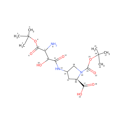 CC(C)(C)OC(=O)C(N)C(O)C(=O)NC1C[C@H](C(=O)O)N(C(=O)OC(C)(C)C)C1